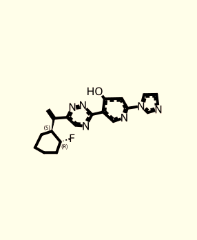 C=C(c1cnc(-c2cnc(-n3ccnc3)cc2O)nn1)[C@@H]1CCCC[C@H]1F